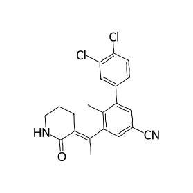 C/C(=C1/CCCNC1=O)c1cc(C#N)cc(-c2ccc(Cl)c(Cl)c2)c1C